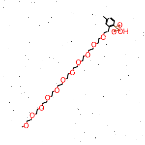 COCCOCCOCCOCCOCCOCCOCCOCCOCCOCCOCCc1cc(C)ccc1S(=O)(=O)O